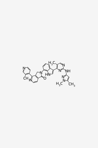 Cc1cnccc1-c1nccc2c1CN(c1cccc3c(-c4nc(Nc5cc(C)n(C)n5)ncc4C)c[nH]c13)C2=O